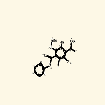 CCCCOc1c(Br)c(C(C)O)c(F)c(C)c1C(=O)Oc1ccccc1